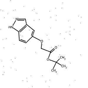 CC(C)(C)OC(=O)COc1ccc2[nH]ncc2c1